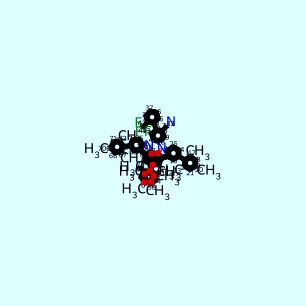 Cc1cc(C)c(-c2ccc3c(c2)c2cc(-c4c(C)cc(C)cc4C)ccc2n3-c2cc(C#N)c(-c3ccccc3C(F)(F)F)cc2-n2c3ccc(-c4c(C)cc(C)cc4C)cc3c3cc(-c4c(C)cc(C)cc4C)ccc32)c(C)c1